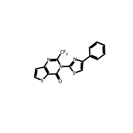 O=c1c2sccc2nc(C(F)(F)F)n1-c1nc(-c2ccccc2)cs1